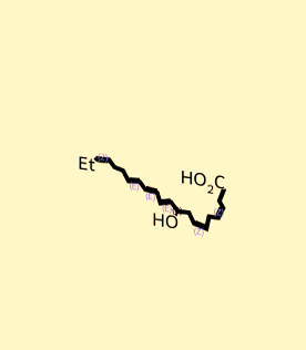 CC/C=C\CC/C=C/C=C/C=C/[C@H](O)C/C=C\C/C=C\CCC(=O)O